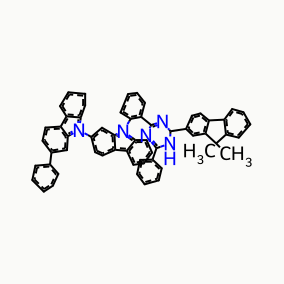 CC1(C)c2ccccc2-c2ccc(C3N=C(c4ccccc4-n4c5ccccc5c5ccc(-n6c7ccccc7c7ccc(-c8ccccc8)cc76)cc54)N=C(c4ccccc4)N3)cc21